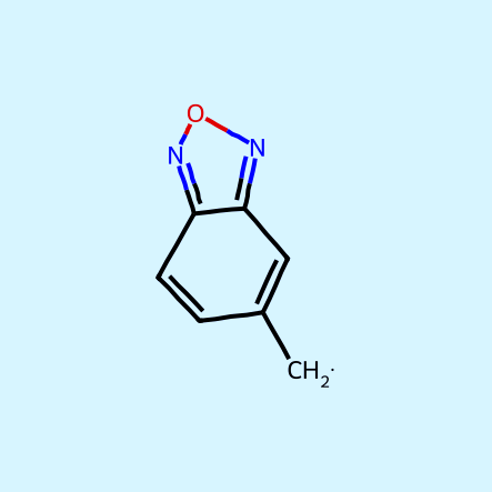 [CH2]c1ccc2nonc2c1